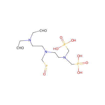 O=CCN(CC=O)CCN(CCN(CP(=O)(O)O)CP(=O)(O)O)CP=O